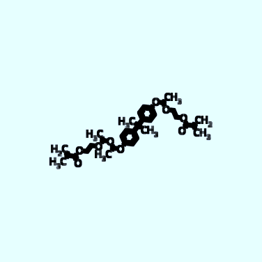 C=C(C)C(=O)OCCOC(C)Oc1ccc(C(C)(C)c2ccc(OC(C)OC(C)OCCOC(=O)C(=C)C)cc2)cc1